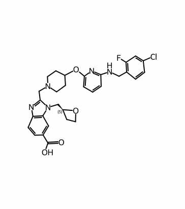 O=C(O)c1ccc2nc(CN3CCC(Oc4cccc(NCc5ccc(Cl)cc5F)n4)CC3)n(C[C@@H]3CCO3)c2c1